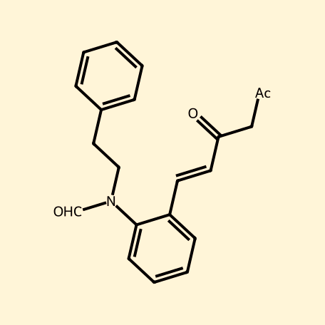 CC(=O)CC(=O)C=Cc1ccccc1N(C=O)CCc1ccccc1